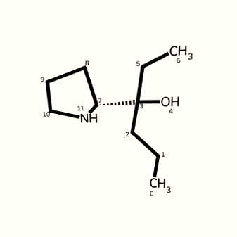 CCCC(O)(CC)[C@H]1CCCN1